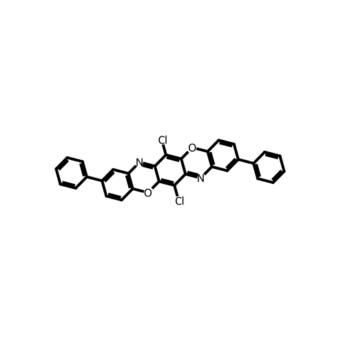 Clc1c2c(c(Cl)c3c1=Nc1cc(-c4ccccc4)ccc1O3)=Nc1cc(-c3ccccc3)ccc1O2